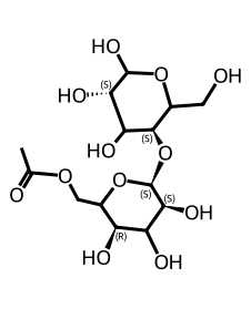 CC(=O)OCC1O[C@@H](O[C@@H]2C(CO)OC(O)[C@@H](O)C2O)[C@@H](O)C(O)[C@H]1O